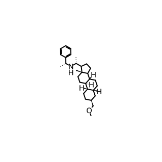 COC[C@H]1CC[C@H]2[C@H](CC[C@H]3C4CCC([C@@H](C)N[C@H](C)c5ccccc5)[C@@]4(C)CC[C@H]23)C1